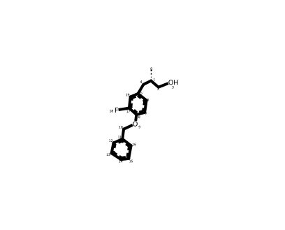 C[C@H](CO)Cc1ccc(OCc2ccccc2)c(F)c1